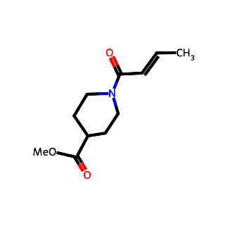 C/C=C/C(=O)N1CCC(C(=O)OC)CC1